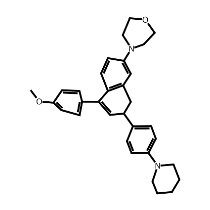 COc1ccc(C2=CC(c3ccc(N4CCCCC4)cc3)Cc3cc(N4CCOCC4)ccc32)cc1